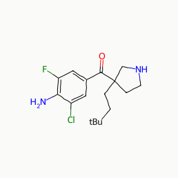 CC(C)(C)CCC1(C(=O)c2cc(F)c(N)c(Cl)c2)CCNC1